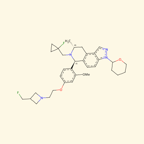 COc1cc(OCCN2CC(CF)C2)ccc1[C@@H]1c2ccc3c(cnn3C3CCCCO3)c2C[C@@H](C)N1CC1(F)CC1